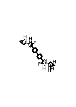 Fc1[nH]c([C@@H]2CC3CC3N2)nc1-c1ccc(-c2ccc(-c3nc([C@@H]4C[C@H]5C[C@H]5N4)[nH]c3F)cc2)cc1